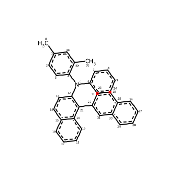 Cc1ccc(N(c2ccccc2)c2ccc3ccccc3c2-c2ccc3ccccc3c2)c(C)c1